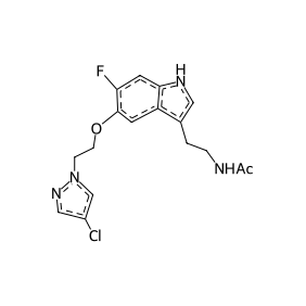 CC(=O)NCCc1c[nH]c2cc(F)c(OCCn3cc(Cl)cn3)cc12